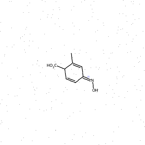 CC1=C/C(=N/O)C=CC1C(=O)O